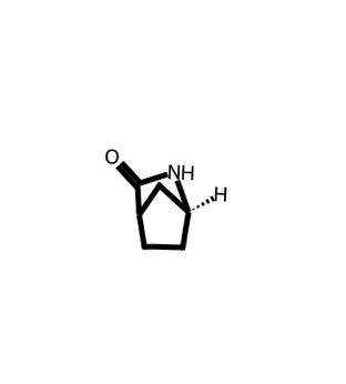 O=C1N[C@H]2CCC1C2